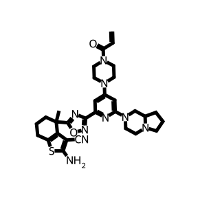 C=CC(=O)N1CCN(c2cc(-c3noc(C4(C)CCCc5sc(N)c(C#N)c54)n3)nc(N3CCN4CCCC4C3)c2)CC1